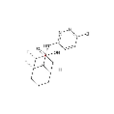 O=C(O)N1[C@@H]2CCC[C@H]1[C@H](F)[C@H](Nc1ccc(Cl)nn1)C2